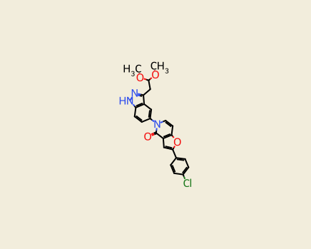 COC(Cc1n[nH]c2ccc(-n3ccc4oc(-c5ccc(Cl)cc5)cc4c3=O)cc12)OC